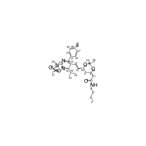 CCCCNC(=O)C[C@H]1C[C@@H](C=Cc2c(-c3ccc(F)cc3)nc(N(C)S(C)(=O)=O)nc2C(C)C)OC(C)(C)O1